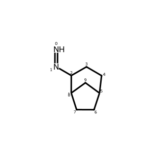 N=NC1CCC2CC[C]1C2